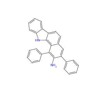 Nc1c(-c2ccccc2)cc2ccc3c4ccccc4[nH]c3c2c1-c1ccccc1